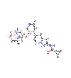 Cc1cc(-c2ccn3nc(NC(=O)C4CC4)cc3c2)c(OC2C[C@H]3COC[C@@H](C2)N3C)cn1